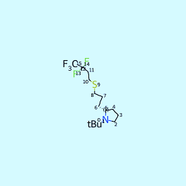 CC(C)(C)N1CCC[C@H]1CCCSCCC(F)(F)C(F)(F)F